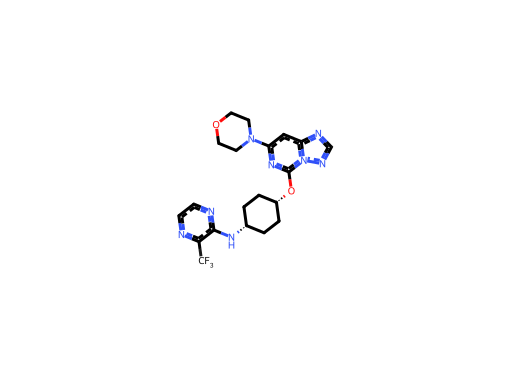 FC(F)(F)c1nccnc1N[C@H]1CC[C@@H](Oc2nc(N3CCOCC3)cc3ncnn23)CC1